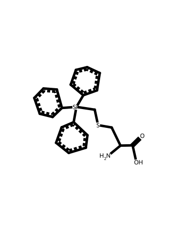 NC(CSC[Si](c1ccccc1)(c1ccccc1)c1ccccc1)C(=O)O